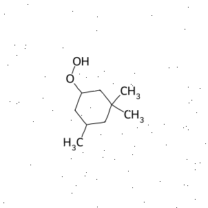 CC1CC(OO)CC(C)(C)C1